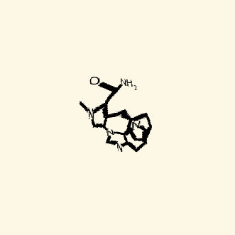 Cn1cc(-n2cnc3cccnc32)c(Cc2ccccc2)c1C(N)=O